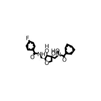 O=C(NC[C@H]1OC[C@@](O)(CN(O)C(=O)c2ccccc2)[C@@H]1O)c1ccc(F)cc1